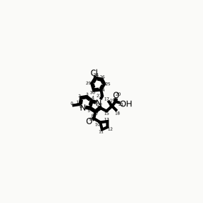 Cc1ccc2c(n1)c(C(=O)C1CCC1)c(CC(C)(C)C(=O)O)n2Cc1ccc(Cl)cc1